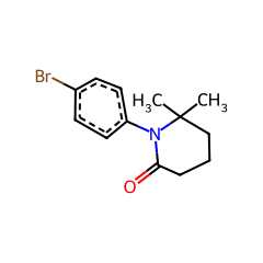 CC1(C)CCCC(=O)N1c1ccc(Br)cc1